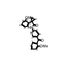 COc1ccccc1C(=O)c1ccc(NC(=O)C2(c3ccccc3OC)CC2)nc1